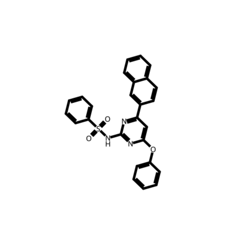 O=S(=O)(Nc1nc(Oc2ccccc2)cc(-c2ccc3ccccc3c2)n1)c1ccccc1